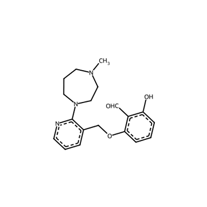 CN1CCCN(c2ncccc2COc2cccc(O)c2C=O)CC1